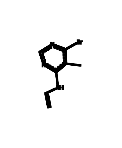 C=CNc1ncnc(Br)c1C